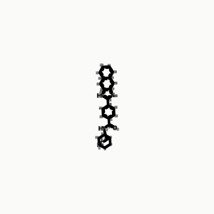 O=C(NC1CN2CCC1CC2)c1ccc(-c2nc3cc4ccccc4cc3[nH]2)cc1